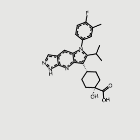 Cc1cc(-n2c(C(C)C)c([C@H]3CC[C@](O)(C(=O)O)CC3)c3nc4[nH]ncc4cc32)ccc1F